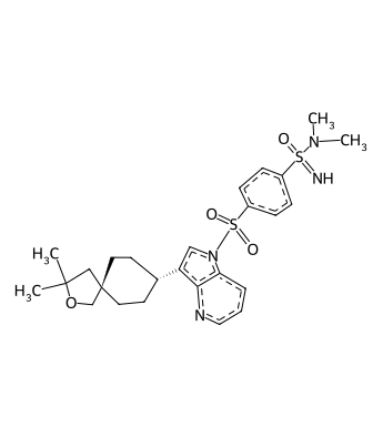 CN(C)S(=N)(=O)c1ccc(S(=O)(=O)n2cc([C@H]3CC[C@@]4(CC3)COC(C)(C)C4)c3ncccc32)cc1